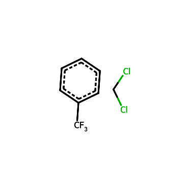 ClCCl.FC(F)(F)c1ccccc1